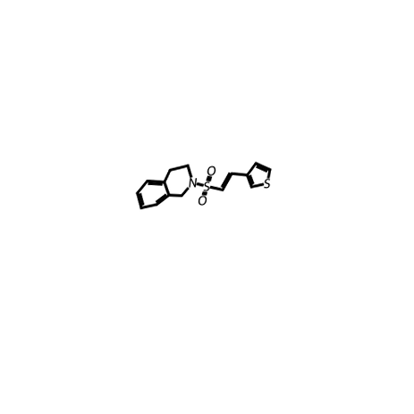 O=S(=O)(C=Cc1ccsc1)N1CCc2ccccc2C1